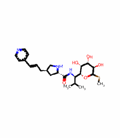 CSC1O[C@H]([C@H](NC(=O)[C@@H]2C[C@@H](C/C=C/c3ccncc3)CN2)C(C)C)[C@H](O)[C@H](O)[C@H]1O